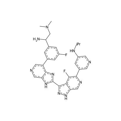 CC(C)Nc1cncc(-c2ncc3[nH]nc(-c4nc5c(-c6cc(F)cc(C(N)CN(C)C)c6)cncc5[nH]4)c3c2F)c1